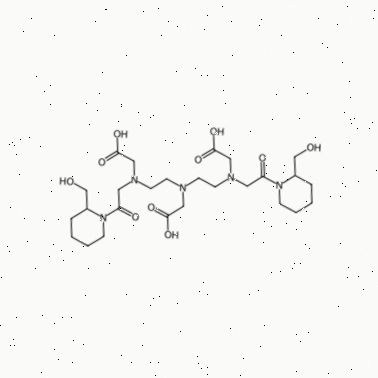 O=C(O)CN(CCN(CC(=O)O)CC(=O)N1CCCCC1CO)CCN(CC(=O)O)CC(=O)N1CCCCC1CO